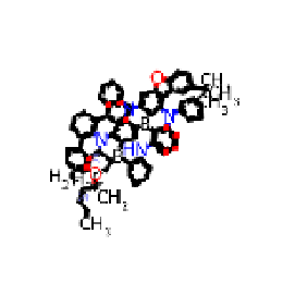 C=CC1B(c2ccccc2NC2=CC=CCC2)c2cc3c(cc2N(c2c(-c4ccccc4)cccc2-c2ccccc2)/C1=C/C(=C)OC(=C)/C=C\CC)N(c1ccccc1)c1cc2oc4ccc(C(C)(C)C)cc4c2c2c1B3c1ccccc1N2c1ccccc1